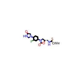 COC(=S)NC[C@H]1CN(c2ccc(N3CNC(=O)C3)c(F)c2)C(=O)O1